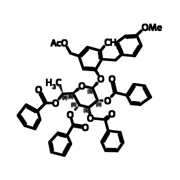 COc1ccc(Cc2c(C)cc(COC(C)=O)cc2O[C@@H]2O[C@H]([C@@H](C)OC(=O)c3ccccc3)[C@@H](OC(=O)c3ccccc3)[C@H](OC(=O)c3ccccc3)[C@H]2OC(=O)c2ccccc2)cc1